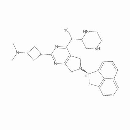 CN(C)C1CN(c2nc3c(c(C(C#N)C4CNCCN4)n2)CN([C@@H]2Cc4cccc5cccc2c45)C3)C1